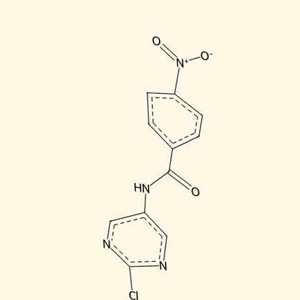 O=C(Nc1cnc(Cl)nc1)c1ccc([N+](=O)[O-])cc1